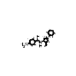 Cc1nn(-c2ccccc2)cc1NNc1ccc(N)cc1